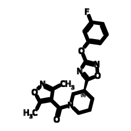 Cc1noc(C)c1C(=O)N1CCC[C@H](c2nc(Oc3cccc(F)c3)no2)C1